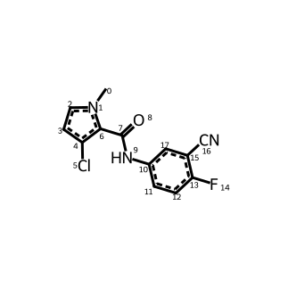 Cn1ccc(Cl)c1C(=O)Nc1ccc(F)c(C#N)c1